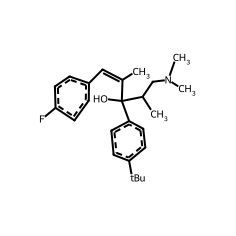 CC(=Cc1ccc(F)cc1)C(O)(c1ccc(C(C)(C)C)cc1)C(C)CN(C)C